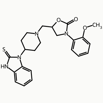 COc1ccccc1N1CC(CN2CCC(n3c(=S)[nH]c4ccccc43)CC2)OC1=O